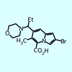 CCC(c1cc2cc(Br)cn2c(C(=O)O)c1C)N1CCOCC1